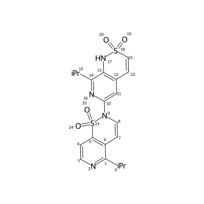 CC(C)c1nccc2c1C=CN(c1cc3c(c(C(C)C)n1)NS(=O)(=O)C=C3)S2(=O)=O